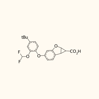 CC(C)(C)c1ccc(Oc2ccc3c(c2)OC2C(C(=O)O)C32)c(OC(F)F)c1